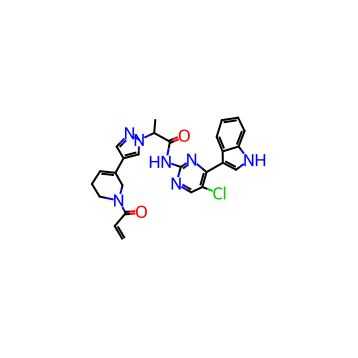 C=CC(=O)N1CCC=C(c2cnn(C(C)C(=O)Nc3ncc(Cl)c(-c4c[nH]c5ccccc45)n3)c2)C1